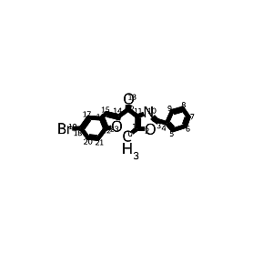 Cc1oc(-c2ccccc2)nc1C(=O)c1cc2cc(Br)ccc2o1